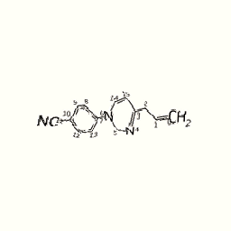 C=CCC1=NCN(c2ccc(C#N)cc2)C=C1